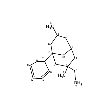 CC1CC2CC(C)(CN)CC(c3ccccc3)(C1)C2